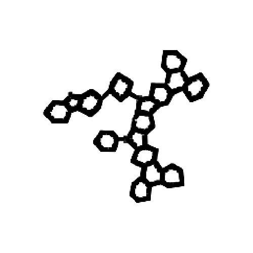 c1ccc(-n2c3cc4c5ccccc5c5ccccc5c4cc3c3cc4c5cc6c7ccccc7c7ccccc7c6cc5n(-c5cccc(-c6ccc7c(c6)sc6ccccc67)c5)c4cc32)cc1